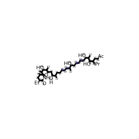 CCC1CC(C)C2(NC1=O)OC(CC(O)C(C)CC/C=C/C=C(\C)C(O)C/C=C/C=C/C(O)C(C)C(O)C(CCC(C)=O)C(C)C)C(C)C(O)C2C